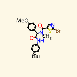 COc1ccc(C(C(=O)Nc2ccc(C(C)(C)C)cc2)N(C)C(=O)c2cnc(Br)s2)cc1